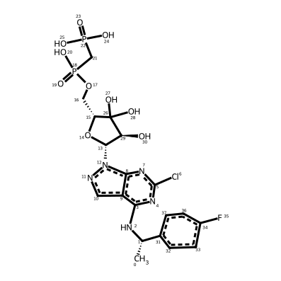 C[C@H](Nc1nc(Cl)nc2c1cnn2[C@@H]1O[C@H](COP(=O)(O)CP(=O)(O)O)C(O)(O)[C@H]1O)c1ccc(F)cc1